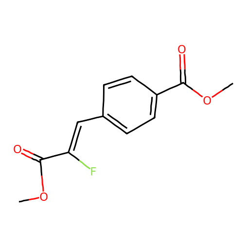 COC(=O)/C(F)=C/c1ccc(C(=O)OC)cc1